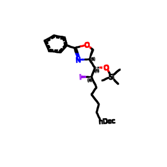 CCCCCCCCCCCCCC[C@@H](I)[C@@H](O[Si](C)(C)C)[C@@H]1COC(c2ccccc2)=N1